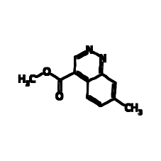 COC(=O)c1cnnc2cc(C)ccc12